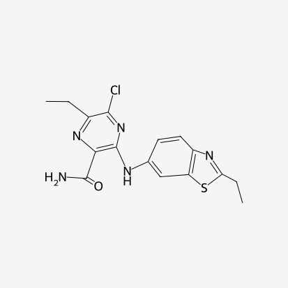 CCc1nc2ccc(Nc3nc(Cl)c(CC)nc3C(N)=O)cc2s1